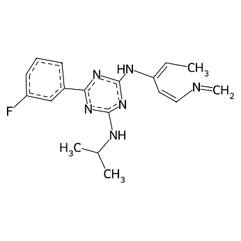 C=N/C=C\C(=C/C)Nc1nc(NC(C)C)nc(-c2cccc(F)c2)n1